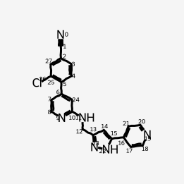 N#Cc1ccc(-c2ccnc(NCc3cc(-c4ccncc4)[nH]n3)c2)c(Cl)c1